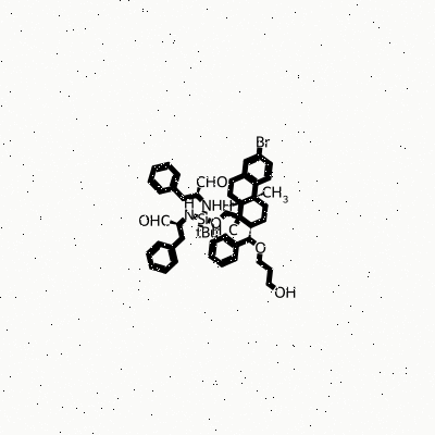 CC1(CO[Si](N[C@H](C=O)Cc2ccccc2)(N[C@H](C=O)Cc2ccccc2)C(C)(C)C)[C@@H](C(OCCCO)c2ccccc2)CC[C@]2(C)c3ccc(Br)cc3CC[C@@H]12